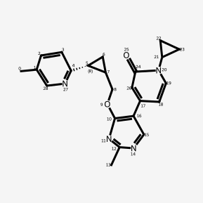 Cc1ccc([C@@H]2CC2COc2nc(C)ncc2-c2ccn(C3CC3)c(=O)c2)nc1